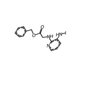 O=C(CNc1ncccc1NI)OCc1ccccc1